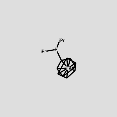 CC(C)P(C(C)C)[C]12[CH]3[CH]4[CH]5[CH]1[Fe]45321678[CH]2[CH]1[CH]6[CH]7[CH]28